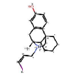 Oc1ccc2c(c1)C[C@@H]1[C@@H]3CCCC[C@]23CCN1C/C=C\I